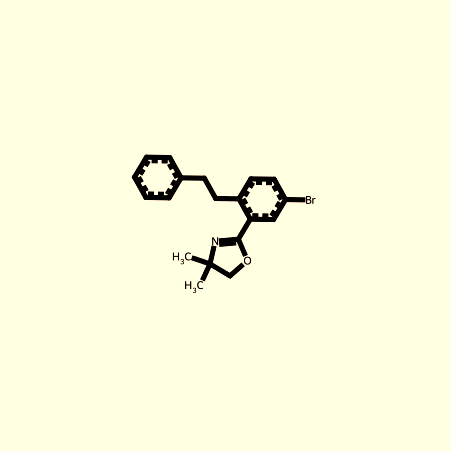 CC1(C)COC(c2cc(Br)ccc2CCc2ccccc2)=N1